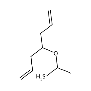 C=CCC(CC=C)OC(C)[SiH3]